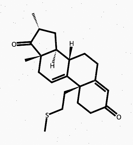 CSCC[C@]12CCC(=O)C=C1CC[C@@H]1C2=CC[C@]2(C)C(=O)[C@H](C)C[C@@H]12